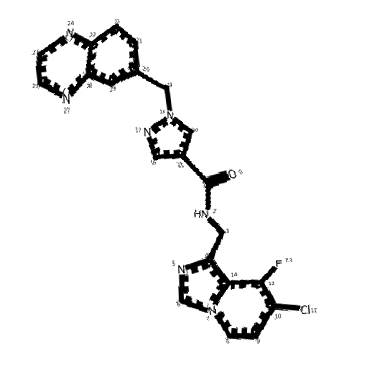 O=C(NCc1ncn2ccc(Cl)c(F)c12)c1cnn(Cc2ccc3nccnc3c2)c1